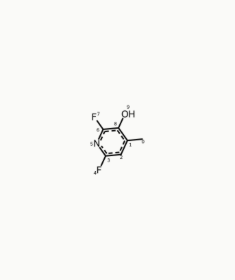 Cc1cc(F)nc(F)c1O